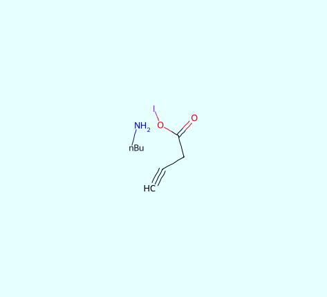 C#CCC(=O)OI.CCCCN